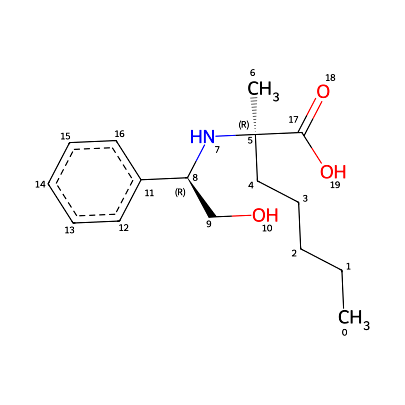 CCCCC[C@@](C)(N[C@@H](CO)c1ccccc1)C(=O)O